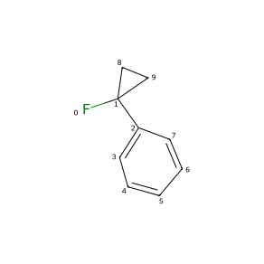 FC1(c2ccccc2)CC1